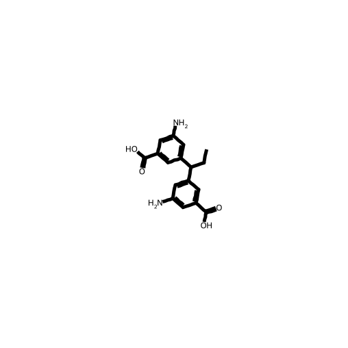 CCC(c1cc(N)cc(C(=O)O)c1)c1cc(N)cc(C(=O)O)c1